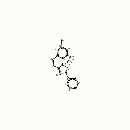 N#C[N+]12N=C(c3ccccc3)N=C1C=Cc1cc(I)cc(O)c12